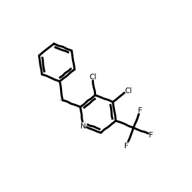 FC(F)(F)c1cnc([CH]c2ccccc2)c(Cl)c1Cl